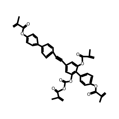 C=C(C)C(=O)OC(=O)Oc1cc(C#Cc2ccc(-c3ccc(OC(=O)C(=C)C)cc3)cc2)cc(OC(=O)C(=C)C)c1-c1ccc(OC(=O)C(=C)C)cc1